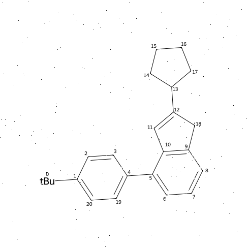 CC(C)(C)c1ccc(-c2cccc3c2C=C(C2CCCC2)[CH]3)cc1